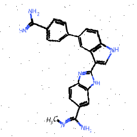 C/N=C(/N)c1ccc2nc(-c3c[nH]c4ccc(-c5ccc(C(=N)N)cc5)cc34)[nH]c2c1